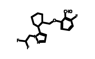 O=Cc1c(F)cccc1OCC1CCCCC1c1ccnn1CC(F)F